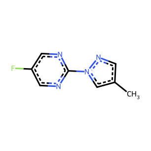 Cc1cnn(-c2ncc(F)cn2)c1